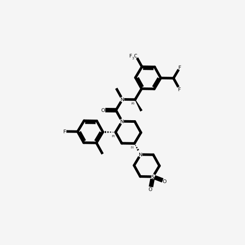 Cc1cc(F)ccc1[C@H]1C[C@@H](N2CCS(=O)(=O)CC2)CCN1C(=O)N(C)[C@H](C)c1cc(C(F)F)cc(C(F)(F)F)c1